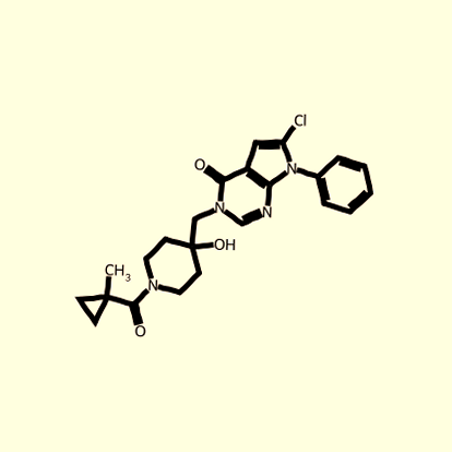 CC1(C(=O)N2CCC(O)(Cn3cnc4c(cc(Cl)n4-c4ccccc4)c3=O)CC2)CC1